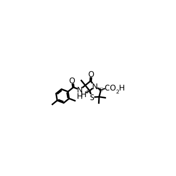 Cc1ccc(C(=O)NC2(C)C(=O)N3[C@@H](C(=O)O)C(C)(C)S[C@@H]32)c(C)c1